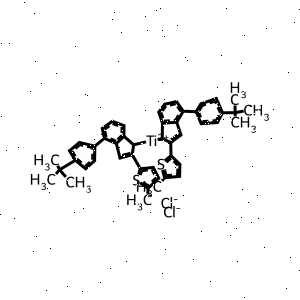 Cc1ccc(C2=Cc3c(-c4ccc(C(C)(C)C)cc4)cccc3[CH]2[Ti+2][CH]2C(c3ccc(C)s3)=Cc3c(-c4ccc(C(C)(C)C)cc4)cccc32)s1.[Cl-].[Cl-]